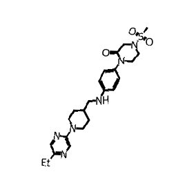 CCc1cnc(N2CCC(CNc3ccc(N4CCN(S(C)(=O)=O)CC4=O)cc3)CC2)cn1